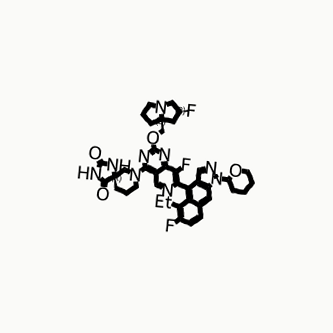 CCc1c(F)ccc2cc3c(cnn3C3CCCCO3)c(-c3ncc4c(N5CCC[C@]6(C5)NC(=O)NC6=O)nc(OC[C@@]56CCCN5C[C@H](F)C6)nc4c3F)c12